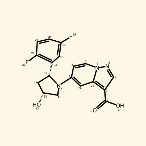 O=C(O)c1cnn2ccc(N3C[C@H](O)C[C@@H]3c3cc(F)ccc3F)cc12